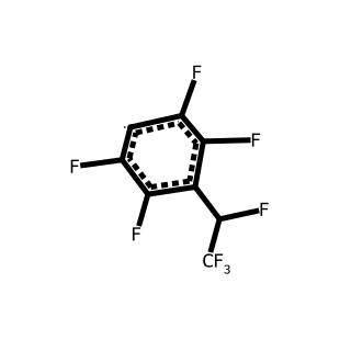 Fc1[c]c(F)c(F)c(C(F)C(F)(F)F)c1F